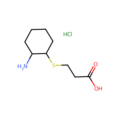 Cl.NC1CCCCC1SCCC(=O)O